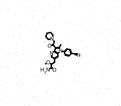 COC(Cc1cnc2c(C(=O)CN3CCCCC3)c(C)n(-c3ccc(C#N)cc3)c2c1)C(N)=O